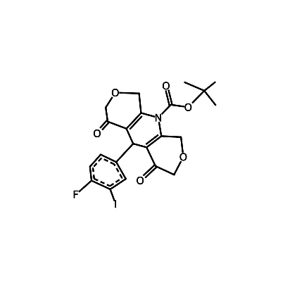 CC(C)(C)OC(=O)N1C2=C(C(=O)COC2)C(c2ccc(F)c(I)c2)C2=C1COCC2=O